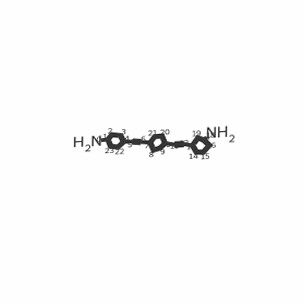 Nc1ccc(C#Cc2ccc(C#Cc3cccc(N)c3)cc2)cc1